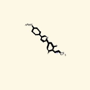 CCCCCC1CCC(c2ccc(-c3cc(F)c(/C=C/C(F)(F)F)c(F)c3)nc2)CC1